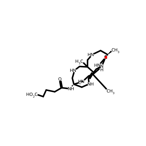 CC1CNC[C@]2(C)CNC/C3=C\NC[C@](NC(=O)CCCC(=O)O)(CNC1)CNCC3(C)CNC2